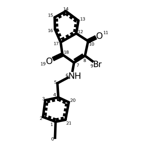 Cc1ccc(CNC2=C(Br)C(=O)c3ccccc3C2=O)cc1